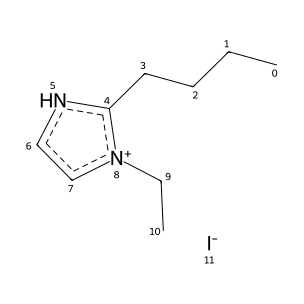 CCCCc1[nH]cc[n+]1CC.[I-]